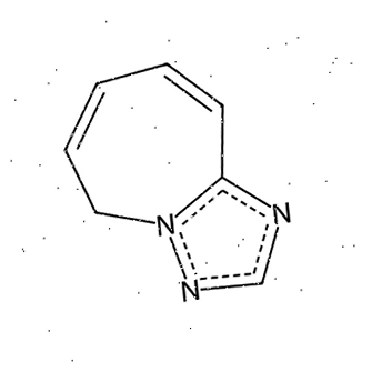 C1=CCn2ncnc2C=C1